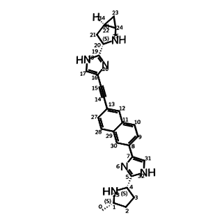 C[C@H]1CC[C@@H](c2nc(-c3ccc4cc(C#Cc5c[nH]c([C@@H]6C[C@H]7CC7N6)n5)ccc4c3)c[nH]2)N1